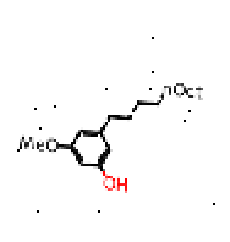 CCCCCCCCCCCCc1cc(O)cc(OC)c1